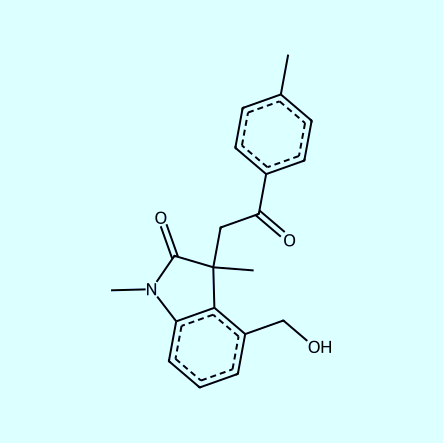 Cc1ccc(C(=O)CC2(C)C(=O)N(C)c3cccc(CO)c32)cc1